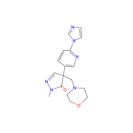 CN1N=CC(CN2CCOCC2)(c2ccc(-n3ccnc3)nc2)C1=O